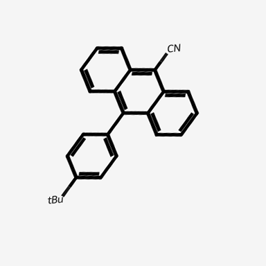 CC(C)(C)c1ccc(-c2c3ccccc3c(C#N)c3ccccc23)cc1